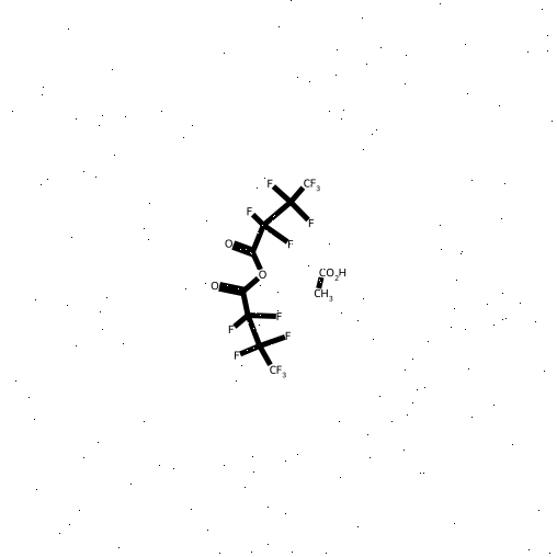 CC(=O)O.O=C(OC(=O)C(F)(F)C(F)(F)C(F)(F)F)C(F)(F)C(F)(F)C(F)(F)F